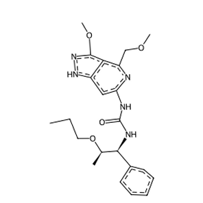 CCCO[C@H](C)[C@@H](NC(=O)Nc1cc2[nH]nc(OC)c2c(COC)n1)c1ccccc1